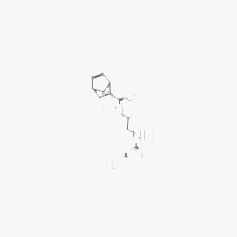 CC(C)(C)OC(=O)NCCNC(=O)C1CC2C=CC1C2